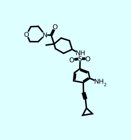 CC1(C(=O)N2CCOCC2)CCC(NS(=O)(=O)c2ccc(C#CC3CC3)c(N)c2)CC1